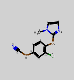 Cn1ccnc1Sc1ccc(SC#N)cc1Cl